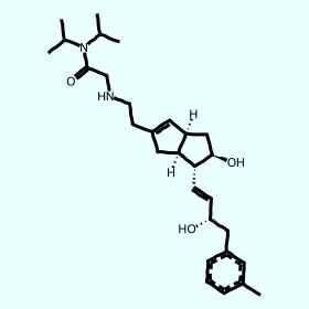 Cc1cccc(C[C@H](O)/C=C/[C@@H]2[C@H]3CC(CCNCC(=O)N(C(C)C)C(C)C)=C[C@H]3C[C@H]2O)c1